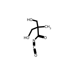 CC(CO)(CO)C(=O)N=C=O